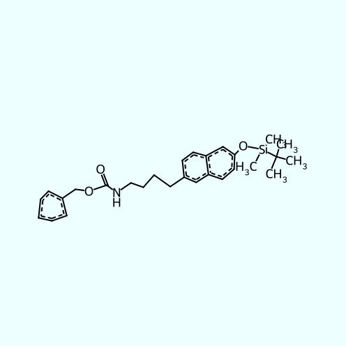 CC(C)(C)[Si](C)(C)Oc1ccc2cc(CCCCNC(=O)OCc3ccccc3)ccc2c1